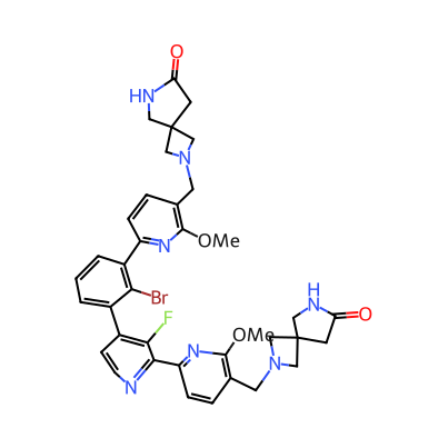 COc1nc(-c2cccc(-c3ccnc(-c4ccc(CN5CC6(CNC(=O)C6)C5)c(OC)n4)c3F)c2Br)ccc1CN1CC2(CNC(=O)C2)C1